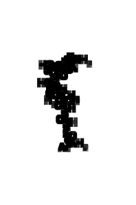 CC(=O)C(N)CC(=O)SCCNC(=O)CCNC(=O)[C@H](O)C(C)(C)COP(=O)(O)OP(=O)(O)OC[C@H]1O[C@@H](n2cnc3c(N)ncnc32)[C@H](O)[C@@H]1OP(=O)(O)O